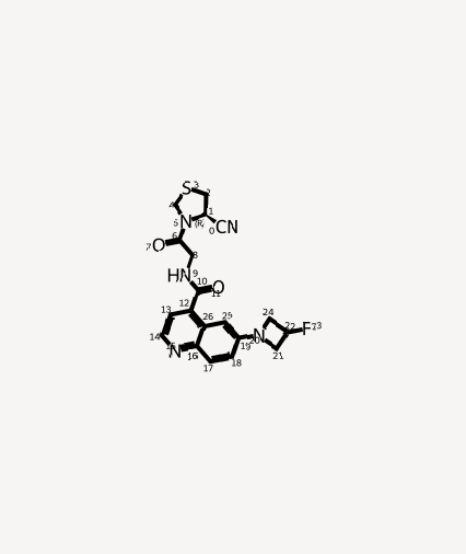 N#C[C@@H]1CSCN1C(=O)CNC(=O)c1ccnc2ccc(N3CC(F)C3)cc12